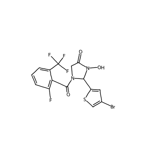 O=C1CN(C(=O)c2c(F)cccc2C(F)(F)F)C(c2cc(Br)cs2)N1O